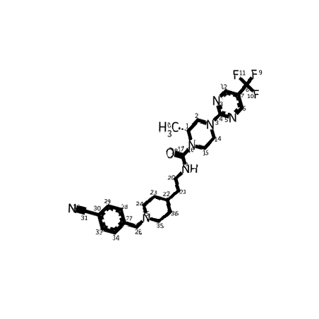 C[C@@H]1CN(c2ncc(C(F)(F)F)cn2)CCN1C(=O)NCCC1CCN(Cc2ccc(C#N)cc2)CC1